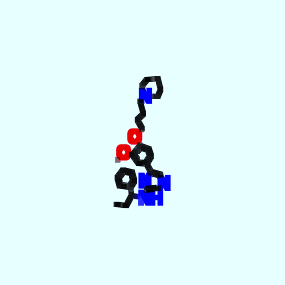 CCC(Nc1cncc(-c2ccc(OCCCCN3CCCCC3)c(OC)c2)n1)c1ccccc1